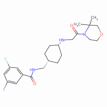 CC1(C)COCCN1C(=O)CN[C@H]1CC[C@@H](CNC(=O)c2cc(F)cc(I)c2)CC1